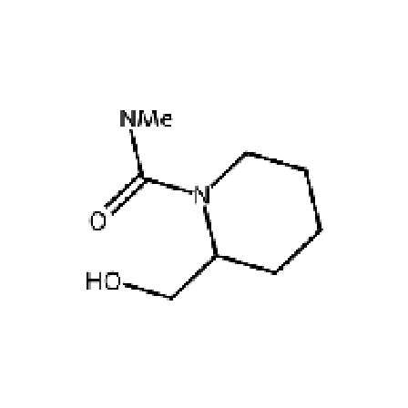 CNC(=O)N1CCCCC1CO